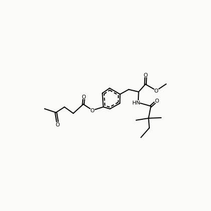 CCC(C)(C)C(=O)NC(Cc1ccc(OC(=O)CCC(C)=O)cc1)C(=O)OC